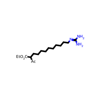 CCOC(=O)C(CCCCCCCCCCN=C(N)N)C(C)=O